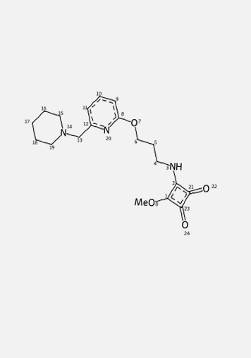 COc1c(NCCCOc2cccc(CN3CCCCC3)n2)c(=O)c1=O